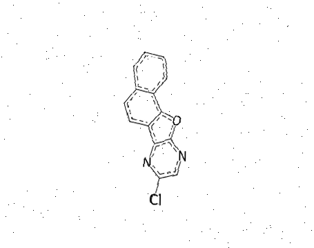 Clc1cnc2oc3c4ccccc4ccc3c2n1